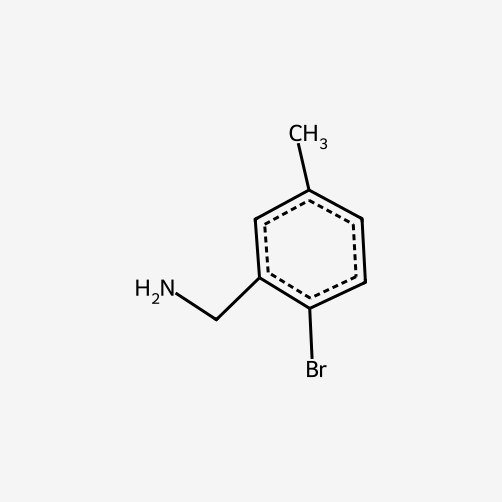 Cc1ccc(Br)c(CN)c1